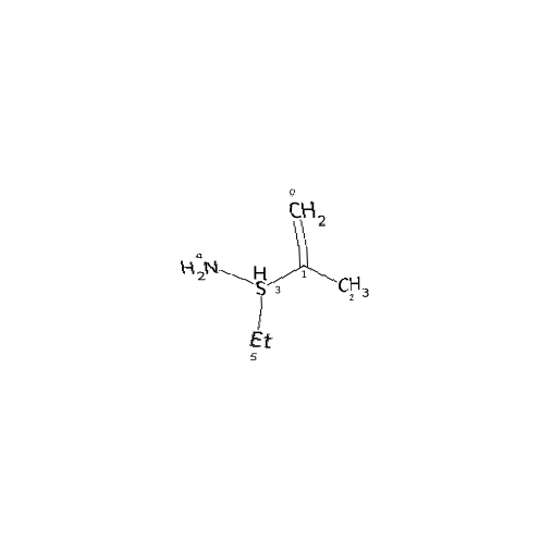 C=C(C)[SH](N)CC